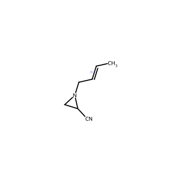 C/C=C/CN1CC1C#N